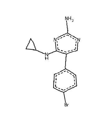 Nc1ncc(-c2ccc(Br)cc2)c(NC2CC2)n1